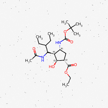 CCOC(=O)[C@H]1C[C@@H](NC(=O)OC(C)(C)C)[C@H](C(NC(C)=O)C(CC)CC)[C@@H]1O